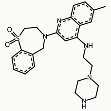 Cc1ccc2nc(N3CCS(=O)(=O)c4ccccc4C3)cc(NCCN3CCNCC3)c2c1